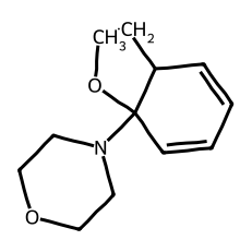 [CH2]C1C=CC=CC1(OC)N1CCOCC1